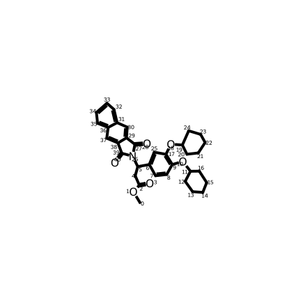 COC(=O)CC(c1ccc(OC2CCCCC2)c(OC2CCCCC2)c1)N1C(=O)c2cc3ccccc3cc2C1=O